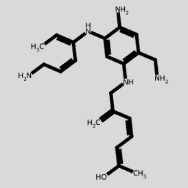 C=C(/C=C\C=C(/C)O)CNc1cc(NC(/C=C\CN)=C/C)c(N)cc1CN